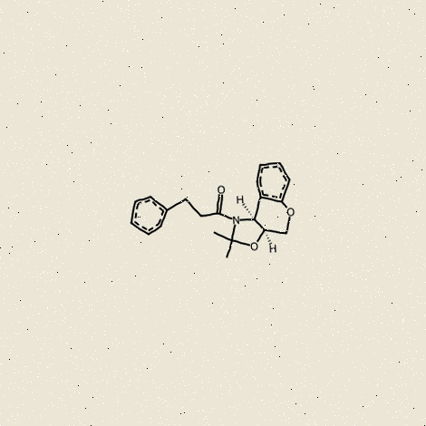 CC1(C)O[C@@H]2COc3ccccc3[C@@H]2N1C(=O)CCc1ccccc1